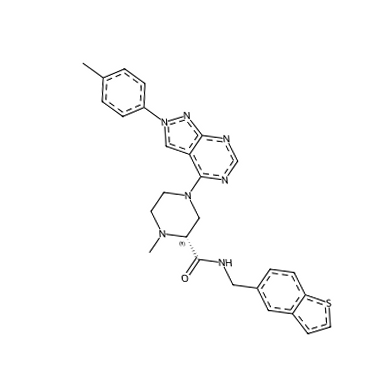 Cc1ccc(-n2cc3c(N4CCN(C)[C@@H](C(=O)NCc5ccc6sccc6c5)C4)ncnc3n2)cc1